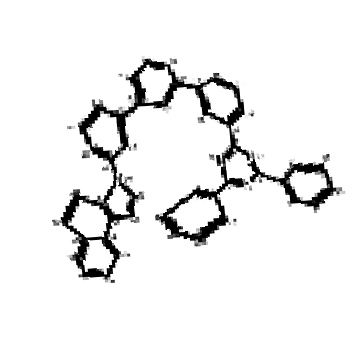 c1ccc(-c2nc(-c3ccccc3)nc(-c3cccc(-c4cccc(-c5cccc(-n6ccc7c8ccccc8ccc76)c5)c4)c3)n2)cc1